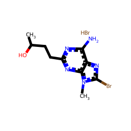 Br.CC(O)CCc1nc(N)c2nc(Br)n(C)c2n1